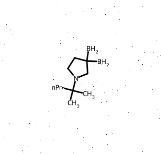 BC1(B)CCN(C(C)(C)CCC)C1